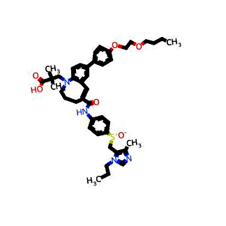 CCCCOCCOc1ccc(-c2ccc3c(c2)/C=C(/C(=O)Nc2ccc([S+]([O-])Cc4c(C)ncn4CCC)cc2)CCCN3CC(C)(C)C(=O)O)cc1